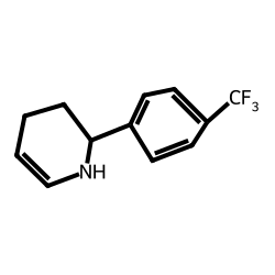 FC(F)(F)c1ccc(C2CCC=CN2)cc1